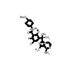 COc1ccc(NC(=O)c2c(F)c(Cl)cc([C@](C)(O)c3nc(C)c4c(N)nccn34)c2OC(C)C)cc1